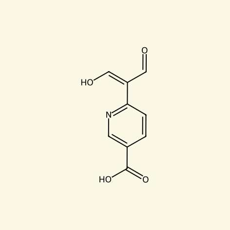 O=C/C(=C/O)c1ccc(C(=O)O)cn1